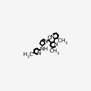 Cc1ccc(NC2CC3CC2N(C(=O)c2cc(C)cnc2-c2ncccc2C)C3)nc1